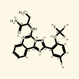 CCC(Nc1nc2ccccc2c2nc(-c3cc(F)ccc3OC(F)(F)F)nn12)C(N)=O